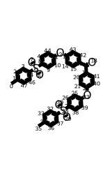 Cc1ccc(S(=O)(=O)c2ccc(Oc3ccc(C(=O)c4ccc(Oc5ccc(S(=O)(=O)c6ccc(C)cc6)cc5)cc4)cc3)cc2)cc1